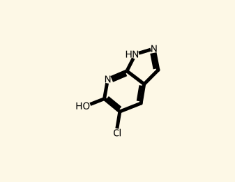 Oc1nc2[nH]ncc2cc1Cl